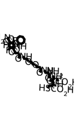 N[C@@H](CNC(=O)CCOCCOCCNC(=O)CCS(=O)(=O)c1c(F)c(F)c(S(N)(=O)=O)c(F)c1NC1CCCCCCC1)C(=O)N[C@@H](CC(=O)O)C(=O)N[C@@H](CS)C(=O)O